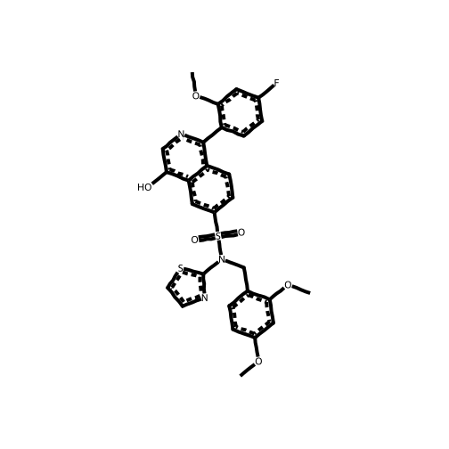 COc1ccc(CN(c2nccs2)S(=O)(=O)c2ccc3c(-c4ccc(F)cc4OC)ncc(O)c3c2)c(OC)c1